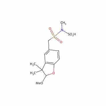 COC1Oc2ccc(CS(=O)(=O)N(C)S(=O)(=O)O)cc2C1(C)C